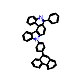 c1ccc(-c2nc3ccccc3c3c2ccc2c3c3ccccc3n2-c2ccc(-c3cc4ccccc4c4ccccc34)cc2)cc1